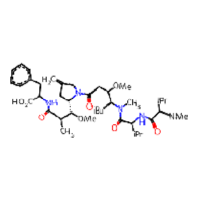 C=C1C[C@@H](C(OC)[C@@H](C)C(=O)NC(Cc2ccccc2)C(=O)O)N(C(=O)CC(OC)C(C(C)CC)N(C)C(=O)[C@@H](NC(=O)C(NC)C(C)C)C(C)C)C1